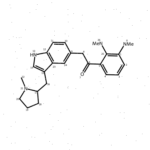 CNc1cccc(C(=O)Cc2ccc3[nH]cc(CC4CCCN4C)c3c2)c1NC